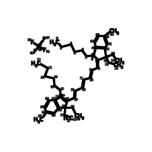 CCCCCCN1\C(=C/C=C/C=C/C=C/C2=[N+](CCCCCC)c3ccc(C)cc3C2(CC)CC)C(CC)(CC)c2cc(C)ccc21.F[B-](F)(F)F